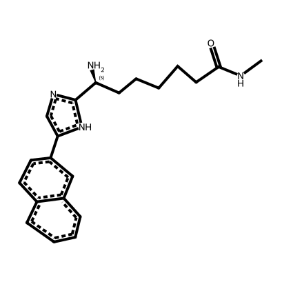 CNC(=O)CCCCC[C@H](N)c1ncc(-c2ccc3ccccc3c2)[nH]1